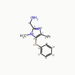 CC(C)c1nc(CN)n(C)c1Sc1ccccc1